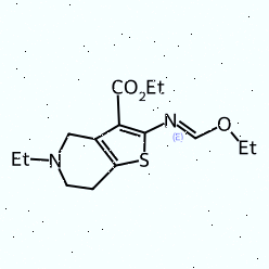 CCO/C=N/c1sc2c(c1C(=O)OCC)CN(CC)CC2